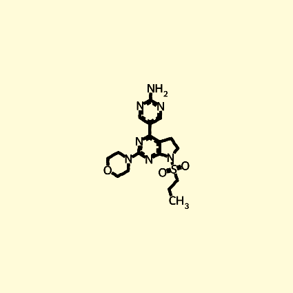 CCCS(=O)(=O)N1CCc2c(-c3cnc(N)nc3)nc(N3CCOCC3)nc21